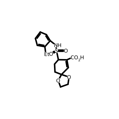 CCc1ccccc1NS(=O)(=O)C1CCC2(C=C1C(=O)O)OCCO2